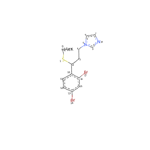 CCCCCCSC(CCn1ccnc1)c1ccc(Br)cc1Br